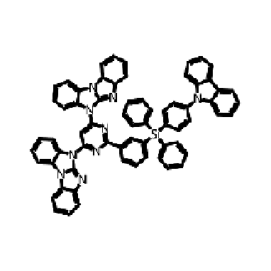 C1=CC2N=C3N(c4cc(-n5c6ccccc6n6c7ccccc7nc56)nc(-c5cccc([Si](c6ccccc6)(c6ccccc6)c6ccc(-n7c8ccccc8c8ccccc87)cc6)c5)n4)c4ccccc4N3C2C=C1